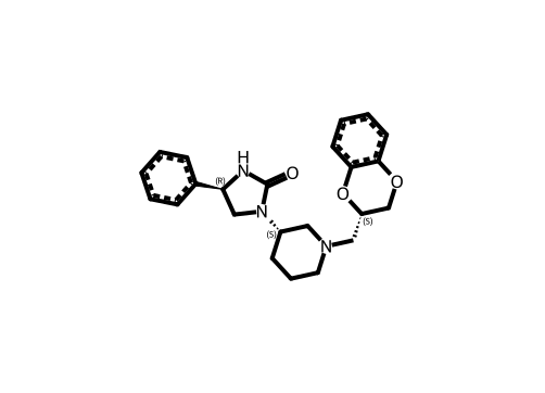 O=C1N[C@H](c2ccccc2)CN1[C@H]1CCCN(C[C@H]2COc3ccccc3O2)C1